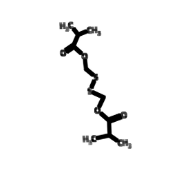 CC(C)C(=O)OCSSCOC(=O)C(C)C